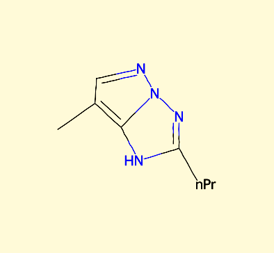 CCCc1nn2ncc(C)c2[nH]1